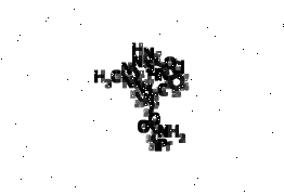 Cc1nc(Nc2ncc(C(=O)Nc3c(C)cccc3Cl)s2)cc(N2CCN(CCOC(=O)[C@@H](N)CC(C)C)CC2)n1